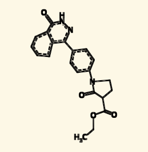 CCOC(=O)C1CCN(c2ccc(-c3n[nH]c(=O)c4ccccc34)cc2)C1=O